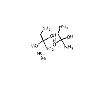 Cl.NCC(N)(O)O.NCC(N)(O)O.[Re]